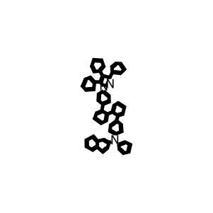 c1ccc(-c2nn(-c3ccc(-c4ccccc4-c4ccccc4-c4ccc(N(c5ccccc5)c5ccc6ccccc6c5)cc4)cc3)c(-c3ccccc3)c2-c2ccccc2)cc1